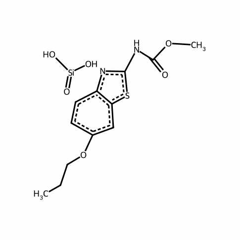 CCCOc1ccc2nc(NC(=O)OC)sc2c1.O=[Si](O)O